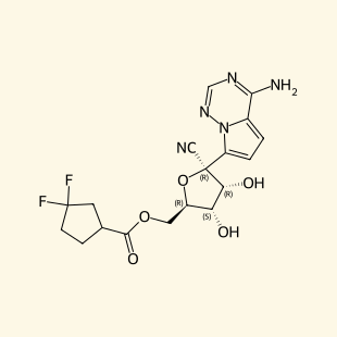 N#C[C@@]1(c2ccc3c(N)ncnn23)O[C@H](COC(=O)C2CCC(F)(F)C2)[C@@H](O)[C@H]1O